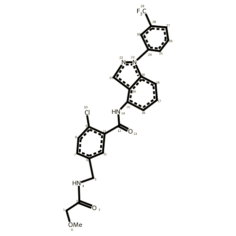 COCC(=O)NCc1ccc(Cl)c(C(=O)Nc2cccc3c2cnn3-c2cccc(C(F)(F)F)c2)c1